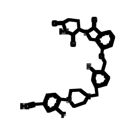 C#Cc1ccc(N2CCN(Cc3ccc(COc4cccc5c4CN(C4CCC(=O)NC4=O)C5=O)c(F)c3)CC2)c(F)c1